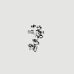 CCCCCC/C=C\C1C[C@]1(NC(=O)[C@@H]1CCCN1C(=O)CNC(=O)OC(CN(C)S(=O)(=O)CC)C(C)(C)C)C(=O)O